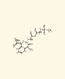 CN1C(=O)[C@@H](CNC(=O)CC(=O)NCC(F)(F)C(F)(F)F)CN(C(=O)C(C)(C)C)c2ccccc21